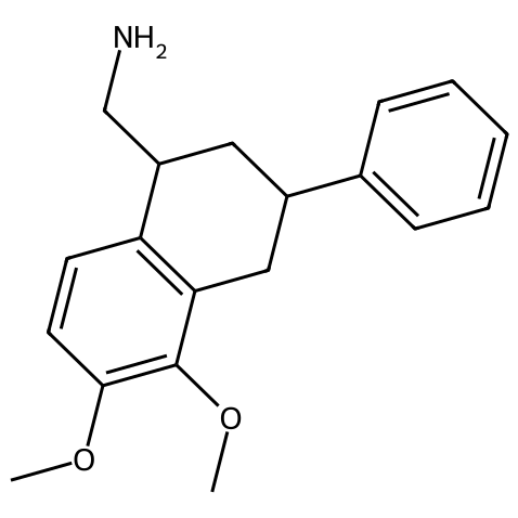 COc1ccc2c(c1OC)CC(c1ccccc1)CC2CN